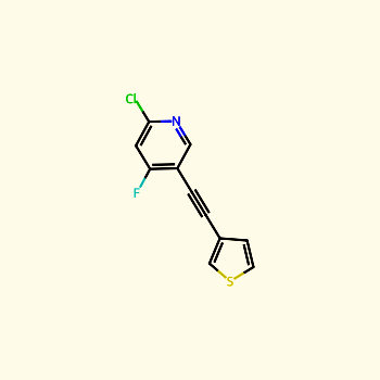 Fc1cc(Cl)ncc1C#Cc1ccsc1